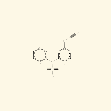 N#CNc1n[c]nc(N(c2ccccc2)S(=O)(=O)O)n1